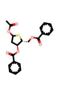 CC(=O)OC1C[C@H](OC(=O)c2ccccc2)[C@@H](COC(=O)c2ccccc2)S1